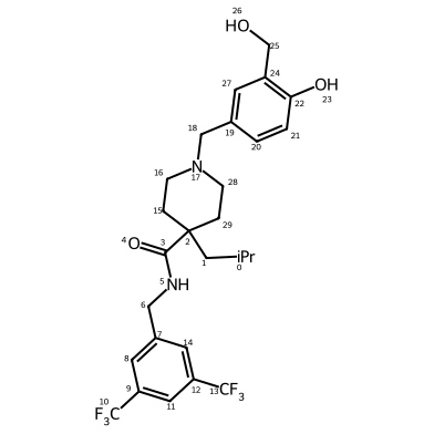 CC(C)CC1(C(=O)NCc2cc(C(F)(F)F)cc(C(F)(F)F)c2)CCN(Cc2ccc(O)c(CO)c2)CC1